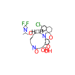 CC(CO[C@H]1/C=C/CCN(C)C(=O)C[C@](O)(C(=O)O)c2ccc3c(c2)N(C[C@@H]2CC[C@H]21)C[C@@]1(CCCc2cc(Cl)ccc21)CO3)N1CC(F)(F)C1